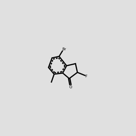 Cc1ccc(Br)c2c1C(=O)C(F)C2